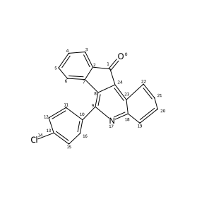 O=C1c2ccccc2-c2c(-c3ccc(Cl)cc3)nc3ccccc3c21